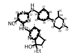 CCC1(O)CCc2ccc(Nc3nc(Nc4ccc(N5CCN(C)CC5C)cc4)ncc3C#N)nc21